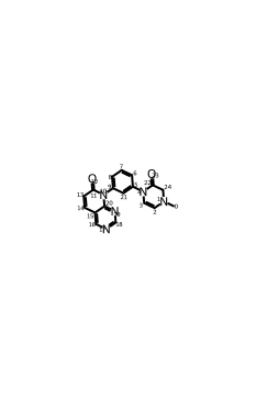 CN1C=CN(c2cccc(-n3c(=O)ccc4cncnc43)c2)C(=O)C1